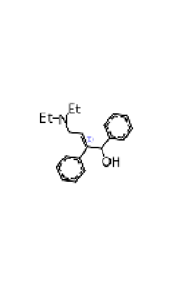 CCN(CC)C/C=C(\c1ccccc1)C(O)c1ccccc1